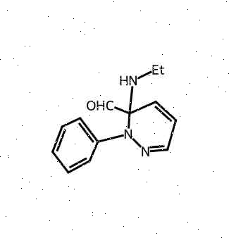 CCNC1(C=O)C=CC=NN1c1ccccc1